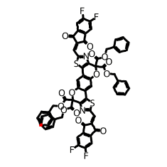 O=C1C(=Cc2nc3c(s2)-c2cc4c(cc2OC3(C(=O)OCc2ccccc2)C(=O)OCc2ccccc2)-c2sc(C=C3C(=O)c5cc(F)c(F)cc5C3=O)nc2C(C(=O)OCc2ccccc2)(C(=O)OCc2ccccc2)O4)C(=O)c2cc(F)c(F)cc21